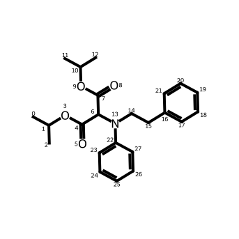 CC(C)OC(=O)C(C(=O)OC(C)C)N(CCc1ccccc1)c1ccccc1